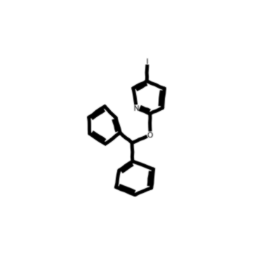 Ic1ccc(OC(c2ccccc2)c2ccccc2)nc1